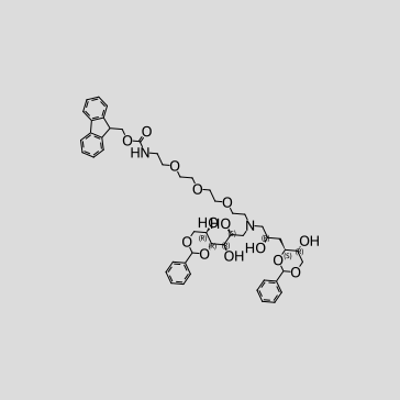 O=C(NCCOCCOCCOCCN(C[C@H](O)C[C@@H]1OC(c2ccccc2)OC[C@H]1O)C[C@H](O)[C@@H](O)[C@@H]1OC(c2ccccc2)OC[C@H]1O)OCC1c2ccccc2-c2ccccc21